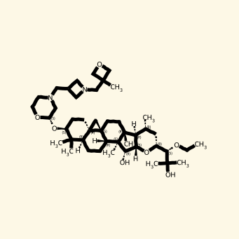 CCO[C@@H]([C@H]1C[C@@H](C)[C@H]2[C@H](O1)[C@H](O)[C@@]1(C)[C@@H]3CC[C@H]4C(C)(C)[C@@H](O[C@H]5CN(CC6CN(CC7(C)COC7)C6)CCO5)CC[C@@]45C[C@@]35CC[C@]21C)C(C)(C)O